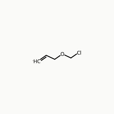 [CH]=CCOCCl